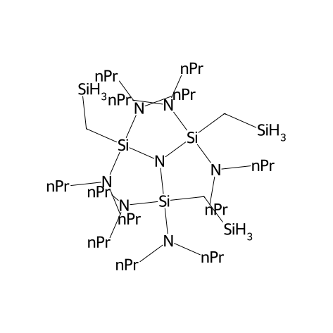 CCCN(CCC)[Si](C[SiH3])(N(CCC)CCC)N([Si](C[SiH3])(N(CCC)CCC)N(CCC)CCC)[Si](C[SiH3])(N(CCC)CCC)N(CCC)CCC